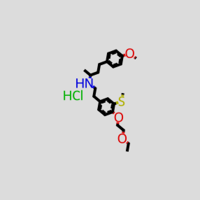 CCOCCOc1ccc(CCNC(C)CCc2ccc(OC)cc2)cc1SC.Cl